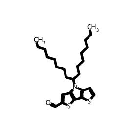 CCCCCCCCC(CCCCCCCC)n1c2ccsc2c2sc(C=O)cc21